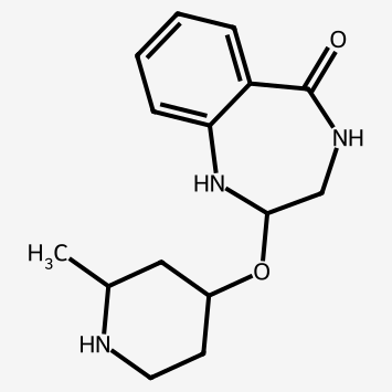 CC1CC(OC2CNC(=O)c3ccccc3N2)CCN1